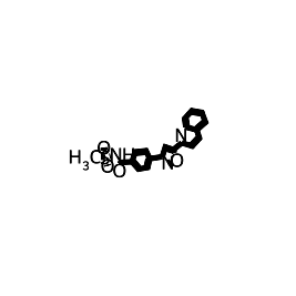 CS(=O)(=O)NC(=O)c1ccc(-c2cc(-c3ccc4ccccc4n3)on2)cc1